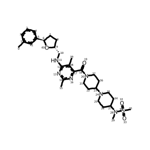 Cc1cccc([C@H]2CC[C@H](CNc3nc(C)nc(C(=O)N4CCC(N5CCC(N(C)S(C)(=O)=O)CC5)CC4)c3C)O2)c1